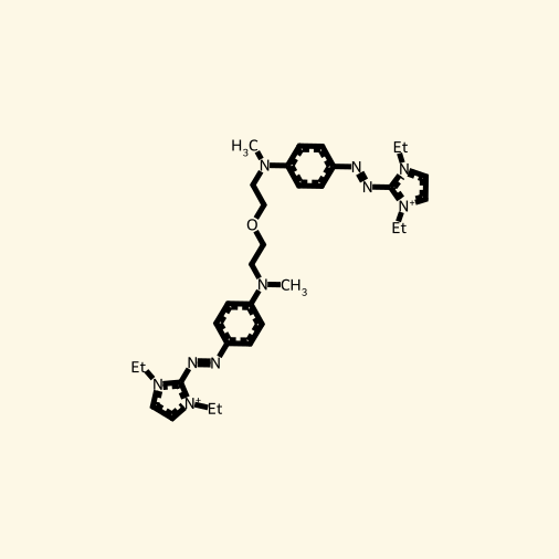 CCn1cc[n+](CC)c1N=Nc1ccc(N(C)CCOCCN(C)c2ccc(N=Nc3n(CC)cc[n+]3CC)cc2)cc1